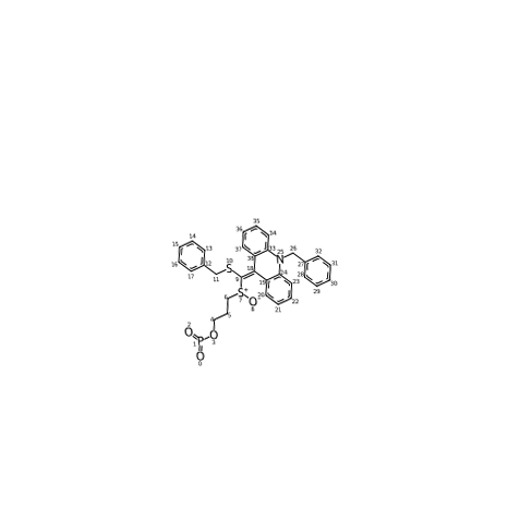 O=P(=O)OCCC[S+]([O-])C(SCc1ccccc1)=C1c2ccccc2N(Cc2ccccc2)c2ccccc21